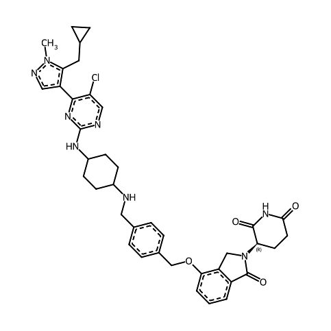 Cn1ncc(-c2nc(NC3CCC(NCc4ccc(COc5cccc6c5CN([C@@H]5CCC(=O)NC5=O)C6=O)cc4)CC3)ncc2Cl)c1CC1CC1